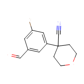 N#CC1(c2cc(Br)cc(C=O)c2)CCOCC1